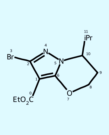 CCOC(=O)c1c(Br)nn2c1OCCC2C(C)C